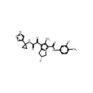 Cc1ccc(NC(=O)c2c(C)c(C(=O)C(=O)NC3(c4c[nH]nn4)CC3)c3n2C[C@H](F)C3)cc1Cl